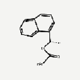 CCCC(=O)O[C@@H](C)c1cccc2ccccc12